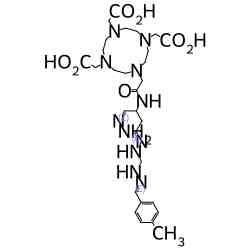 Cc1ccc(/C=N/NCN/N=C/CC(/C=N\N)NC(=O)CN2CCN(CC(=O)O)CCN(CC(=O)O)CCN(CC(=O)O)CC2)cc1